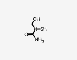 NC(=O)N(S)CO